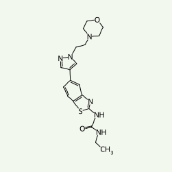 CCNC(=O)Nc1nc2cc(-c3cnn(CCN4CCOCC4)c3)ccc2s1